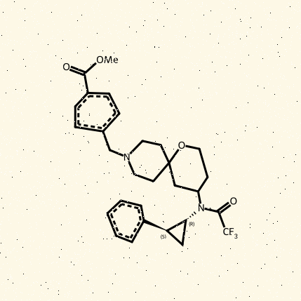 COC(=O)c1ccc(CN2CCC3(CC2)CC(N(C(=O)C(F)(F)F)[C@@H]2C[C@H]2c2ccccc2)CCO3)cc1